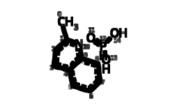 Cc1ccc2ccccc2n1.O=[PH](O)O